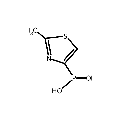 Cc1nc(P(O)O)cs1